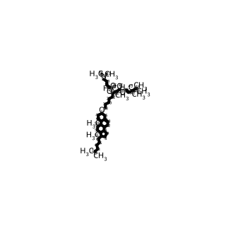 CC(C)CCCCC1CCC2C3CC=C4CC(OCCCCCC(OC(=O)CCCN(C)C)C(C)(C)C(=O)OC=CC(C)(C)C(C)C)CCC4(C)C3CCC12C